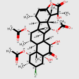 CC(=O)O[C@@H]1[C@H]2[C@H]3[C@H]([C@H](C)[C@H](OC(C)=O)[C@]2(C)[C@@H]2[C@@H]1[C@]1(C)C(=C[C@H]2C)OC(=O)[C@@]1(C)O)[C@@]1(C)[C@@H](OC(C)=O)[C@@H](C)[C@H](Cl)C[C@]1(O)C(=O)[C@@H]3O